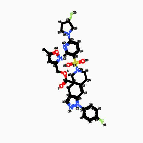 Cc1cc(COC(=O)C23Cc4cnn(-c5ccc(F)cc5)c4C=C2CCN(S(=O)(=O)c2ccc(N4CC[C@@H](F)C4)nc2)C3)no1